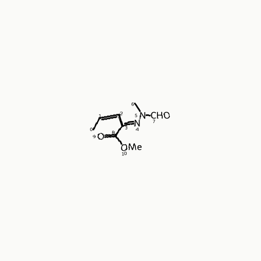 C/C=C\C(=N/N(C)C=O)C(=O)OC